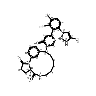 O=C1NCCCCC[C@H](n2cnc(-c3c(N4C=C(Cl)NN4)ccc(Cl)c3F)cc2=O)c2cccc(c2)N2C(=O)CC[C@H]12